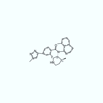 Cc1cccc2ccnc(N(C(=O)c3ccc(-c4cn(C)nn4)cc3F)[C@H]3CNCC[C@@H]3C)c12